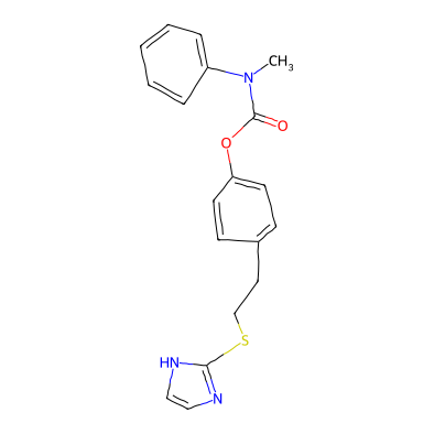 CN(C(=O)Oc1ccc(CCSc2ncc[nH]2)cc1)c1ccccc1